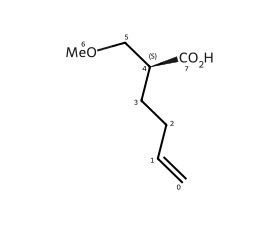 C=CCC[C@@H](COC)C(=O)O